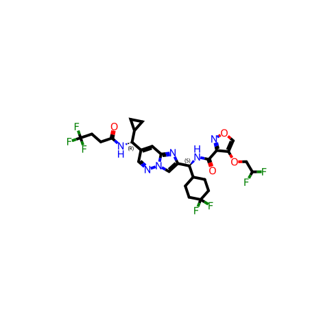 O=C(CCC(F)(F)F)N[C@@H](c1cnn2cc([C@@H](NC(=O)c3nocc3OCC(F)F)C3CCC(F)(F)CC3)nc2c1)C1CC1